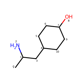 [CH2]C(N)CC1CCC(O)CC1